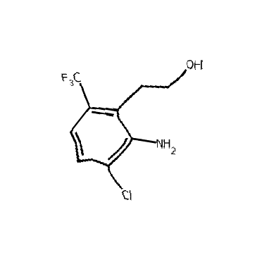 Nc1c(Cl)ccc(C(F)(F)F)c1CCO